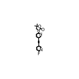 CC1(C)CN(c2ccc(C#Cc3ccc(F)nc3)cn2)C(=O)O1